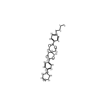 CCCCc1ccc(C2OCC3(CO2)COC(c2ccc(N4CC[N]CC4)cc2)OC3)cc1